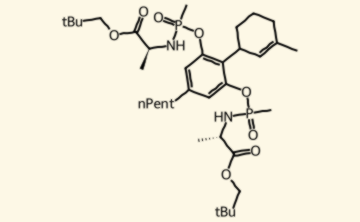 CCCCCc1cc(OP(C)(=O)N[C@@H](C)C(=O)OCC(C)(C)C)c(C2C=C(C)CCC2)c(OP(C)(=O)N[C@@H](C)C(=O)OCC(C)(C)C)c1